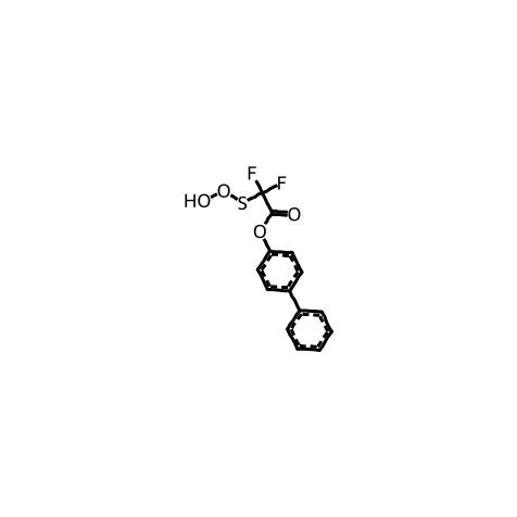 O=C(Oc1ccc(-c2ccccc2)cc1)C(F)(F)SOO